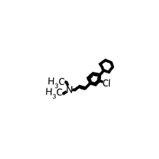 CCN(CC)CC=Cc1ccc(C2CCCCC2)c(Cl)c1